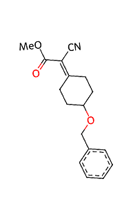 COC(=O)C(C#N)=C1CCC(OCc2ccccc2)CC1